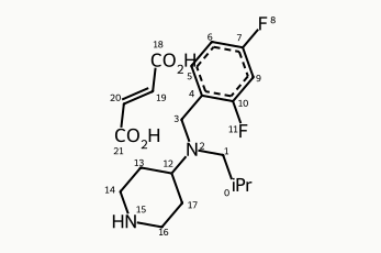 CC(C)CN(Cc1ccc(F)cc1F)C1CCNCC1.O=C(O)C=CC(=O)O